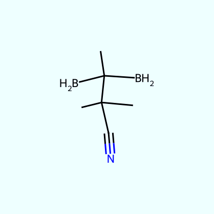 BC(B)(C)C(C)(C)C#N